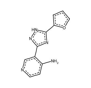 Nc1ccncc1-c1n[nH]c(-c2ccco2)n1